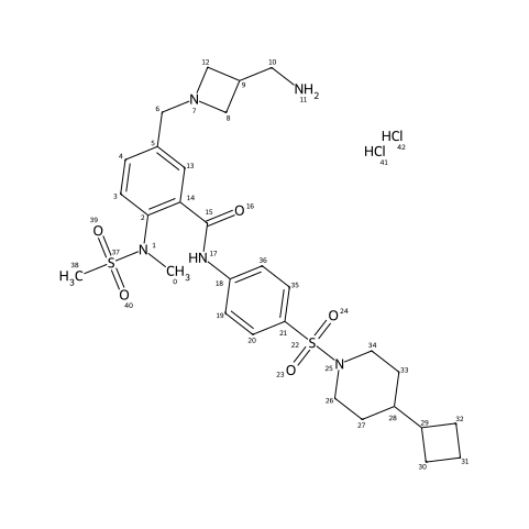 CN(c1ccc(CN2CC(CN)C2)cc1C(=O)Nc1ccc(S(=O)(=O)N2CCC(C3CCC3)CC2)cc1)S(C)(=O)=O.Cl.Cl